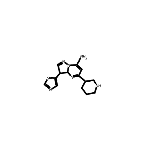 NC1=CC(C2CCCNC2)=NC2C(c3cncs3)C=NN12